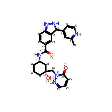 Cc1cc(C2NNc3ccc(C(=O)N[C@@H]4CCC[C@](O)(Cn5ncccc5=O)C4)cc32)ccn1